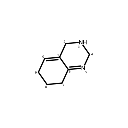 C1=C2CNCN=C2CCC1